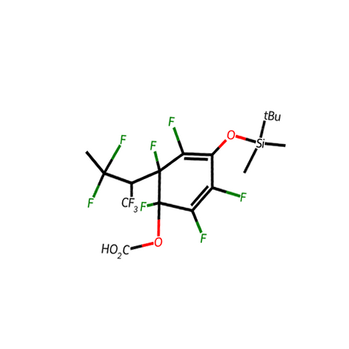 CC(F)(F)C(C(F)(F)F)C1(F)C(F)=C(O[Si](C)(C)C(C)(C)C)C(F)=C(F)C1(F)OC(=O)O